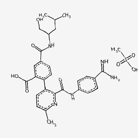 CS(=O)(=O)O.Cc1ccc(-c2ccc(C(=O)NC(CO)CC(C)C)cc2C(=O)O)c(C(=O)Nc2ccc(C(=N)N)cc2)n1